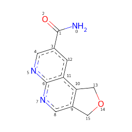 NC(=O)c1cnc2ncc3c(c2c1)COC3